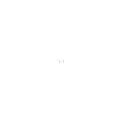 CC(C)CNCC1(C)CCC1